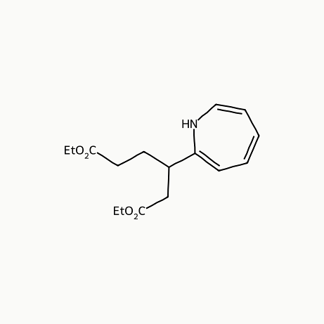 CCOC(=O)CCC(CC(=O)OCC)C1=CC=CC=CN1